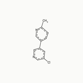 Cc1ccc(-c2cncc(Cl)c2)cn1